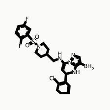 Bc1cnn2c1NC(C1=C(Cl)CCC=C1)C=C2NCC1CCN(S(=O)(=O)c2cc(F)ccc2F)CC1